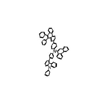 c1ccc(-c2c(-c3ccccc3)c3cc(-c4ccc(N(c5ccc(-c6cccc7c6c6ccccc6n7-c6ccccc6)cc5)c5cc6ccccc6c6ccccc56)cc4)ccc3c3ccccc23)cc1